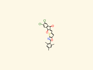 Cc1cc(C)c(-c2nc3sc(C=C4C(=O)c5cc(Cl)c(Cl)cc5C4=O)cc3o2)c(C)c1